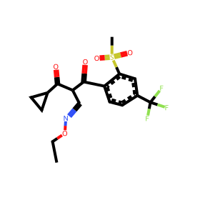 CCO/N=C/C(C(=O)c1ccc(C(F)(F)F)cc1S(C)(=O)=O)C(=O)C1CC1